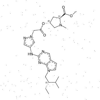 CC[C@H](Cn1ccc2cnc(Nc3cnn(CC(=O)O[C@@H]4C[C@@H](C(=O)OC)N(C)C4)c3)nc21)C(C)C